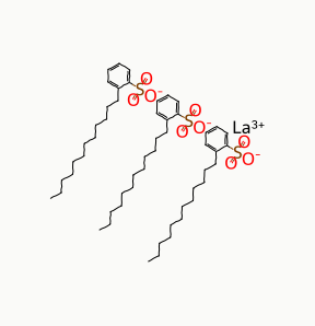 CCCCCCCCCCCCc1ccccc1S(=O)(=O)[O-].CCCCCCCCCCCCc1ccccc1S(=O)(=O)[O-].CCCCCCCCCCCCc1ccccc1S(=O)(=O)[O-].[La+3]